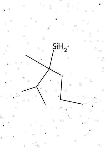 CCCC(C)([SiH2])C(C)C